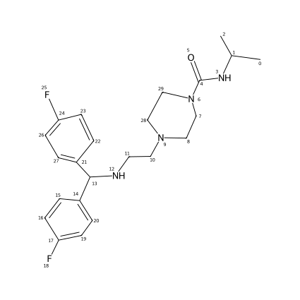 CC(C)NC(=O)N1CCN(CCNC(c2ccc(F)cc2)c2ccc(F)cc2)CC1